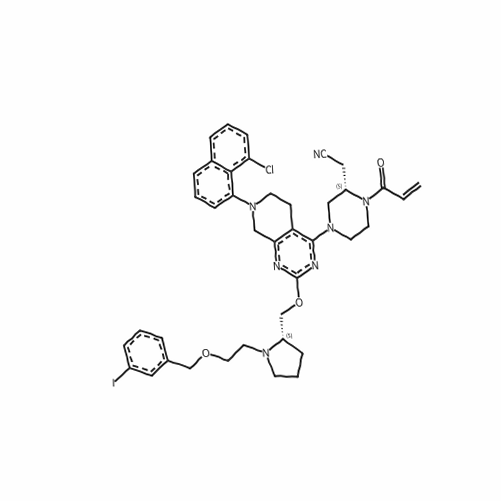 C=CC(=O)N1CCN(c2nc(OC[C@@H]3CCCN3CCOCc3cccc(I)c3)nc3c2CCN(c2cccc4cccc(Cl)c24)C3)C[C@@H]1CC#N